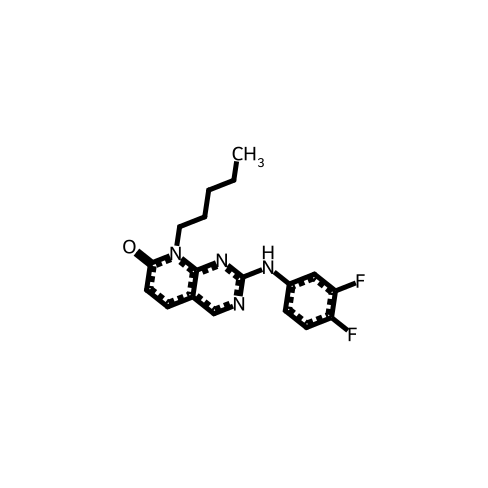 CCCCCn1c(=O)ccc2cnc(Nc3ccc(F)c(F)c3)nc21